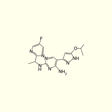 CC(C)Oc1cc(-c2cnc(NC(C)c3ncc(F)cn3)nc2N)n[nH]1